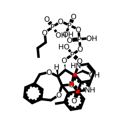 CCCOP(=O)(O)OP(=O)(O)OP(=O)(O)OP(=O)(O)O[C@H]1[C@H]2OCc3cccc(c3)COC2(c2c(C)cccc2-c2c3nc(=O)[nH]c2C=CN3)O[C@@H]1CO